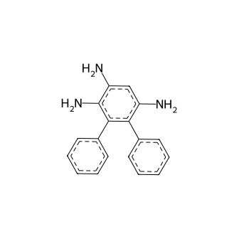 Nc1cc(N)c(-c2ccccc2)c(-c2ccccc2)c1N